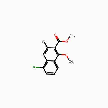 COC(=O)c1c(C)cc2c(Br)cccc2c1OC